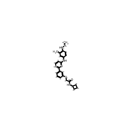 C=NNc1ccc(Nc2ccnc(-c3cccc(OCC(=O)NC4CCC4)c3)n2)cc1C